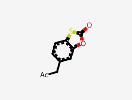 CC(=O)Cc1ccc2sc(=O)oc2c1